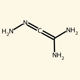 NN=C=C(N)N